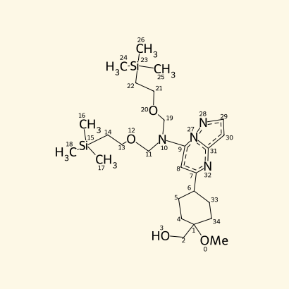 COC1(CO)CCC(c2cc(N(COCC[Si](C)(C)C)COCC[Si](C)(C)C)n3nccc3n2)CC1